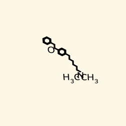 CN(C)CCCCCCCc1ccc(C(=O)Cc2ccccc2)cc1